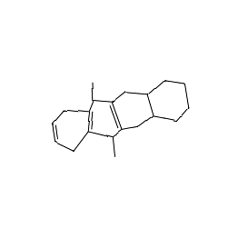 CC1C2=C(CC=CC2)C(C)C2=C1CC1CCCCC1C2